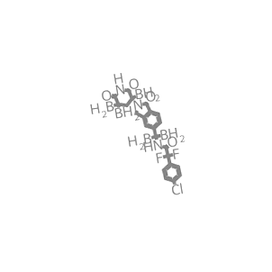 BC1(B)CC(B)(N2Cc3cc(C(B)(B)NC(=O)C(F)(F)c4ccc(Cl)cc4)ccc3C2=O)C(=O)NC1=O